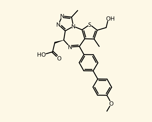 COc1ccc(-c2ccc(C3=N[C@@H](CC(=O)O)c4nnc(C)n4-c4sc(CO)c(C)c43)cc2)cc1